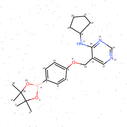 CC1(C)OB(c2ccc(OCc3cncnc3NC3CCCC3)cc2)OC1(C)C